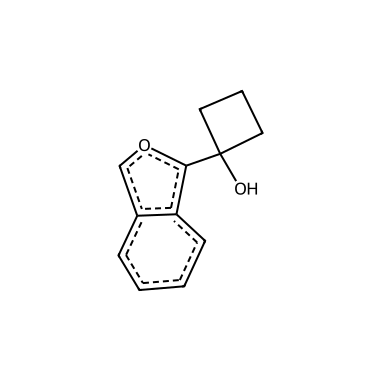 OC1(c2occ3ccccc23)CCC1